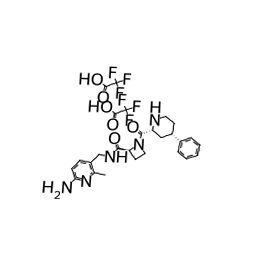 Cc1nc(N)ccc1CNC(=O)[C@@H]1CCN1C(=O)[C@H]1C[C@@H](c2ccccc2)CCN1.O=C(O)C(F)(F)F.O=C(O)C(F)(F)F